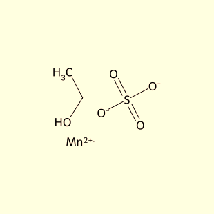 CCO.O=S(=O)([O-])[O-].[Mn+2]